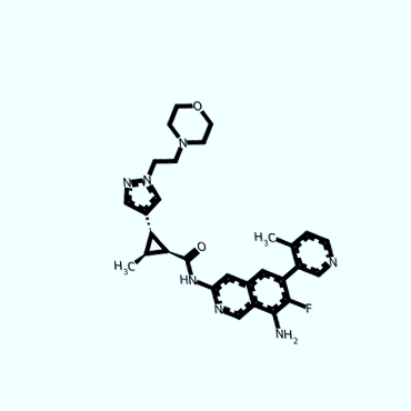 Cc1ccncc1-c1cc2cc(NC(=O)[C@H]3[C@@H](C)[C@@H]3c3cnn(CCN4CCOCC4)c3)ncc2c(N)c1F